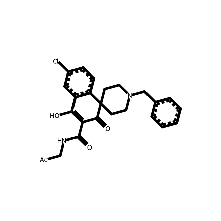 CC(=O)CNC(=O)C1=C(O)c2cc(Cl)ccc2C2(CCN(Cc3ccccc3)CC2)C1=O